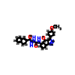 COc1ccc(C2=C3C(=O)c4c(NC(=O)NNC(=O)c5ccc6ccccc6c5)cccc4C3N=N2)cc1